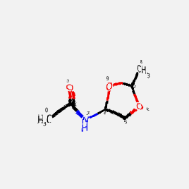 CC(=O)NC1COC(C)O1